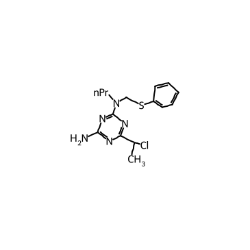 CCCN(CSc1ccccc1)c1nc(N)nc(C(C)Cl)n1